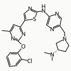 Cc1cc(-c2cnc(Nc3cnc(CN4CC[C@H](N(C)C)C4)cn3)s2)nc(Oc2ccccc2Cl)n1